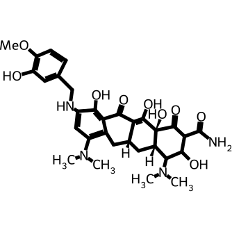 COc1ccc(CNc2cc(N(C)C)c3c(c2O)C(=O)C2=C(O)[C@]4(O)C(=O)C(C(N)=O)C(O)C(N(C)C)[C@@H]4C[C@@H]2C3)cc1O